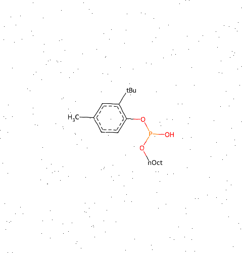 CCCCCCCCOP(O)Oc1ccc(C)cc1C(C)(C)C